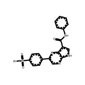 CC(C)S(=O)(=O)c1ccc(-c2cnc3[nH]cc(C(=O)Nc4ccccc4)c3n2)cc1